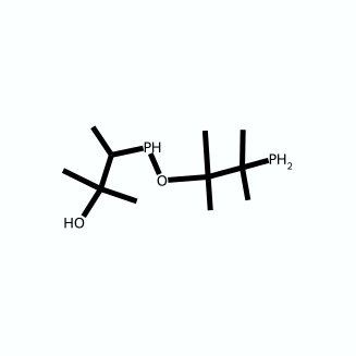 CC(POC(C)(C)C(C)(C)P)C(C)(C)O